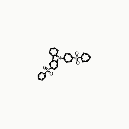 O=S(=O)(c1ccccc1)c1ccc(-n2c3ccccc3c3cc(S(=O)(=O)c4ccccc4)ccc32)cc1